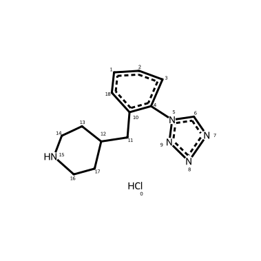 Cl.c1ccc(-n2cnnn2)c(CC2CCNCC2)c1